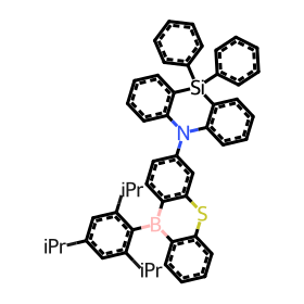 CC(C)c1cc(C(C)C)c(B2c3ccccc3Sc3cc(N4c5ccccc5[Si](c5ccccc5)(c5ccccc5)c5ccccc54)ccc32)c(C(C)C)c1